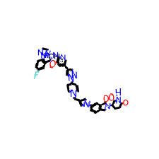 C[C@@H](Oc1cc(-c2cnn(C3CCN(CC4CN(c5ccc6c(c5)C(=O)N(C5CCC(=O)NC5=O)C6)C4)CC3)c2)cnc1N)c1cc(F)ccc1-n1nccn1